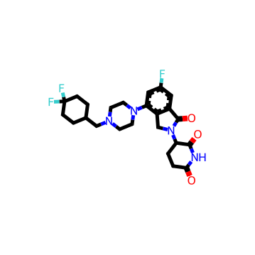 O=C1CCC(N2Cc3c(cc(F)cc3N3CCN(CC4CCC(F)(F)CC4)CC3)C2=O)C(=O)N1